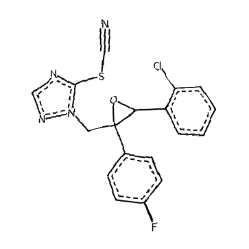 N#CSc1ncnn1CC1(c2ccc(F)cc2)OC1c1ccccc1Cl